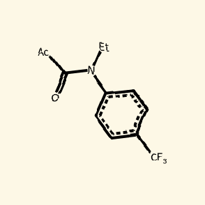 CCN(C(=O)C(C)=O)c1ccc(C(F)(F)F)cc1